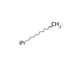 [CH2]C=CCCCCCCCCCCC(C)C